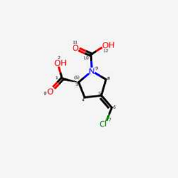 O=C(O)[C@@H]1CC(=CCl)CN1C(=O)O